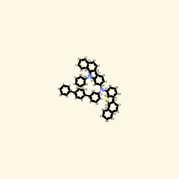 c1ccc(-c2ccc(-c3cccc(N(c4ccc5c6ccc7ccccc7c6n(-c6ccccc6)c5c4)c4cccc5c4sc4c6ccccc6ccc54)c3)cc2)cc1